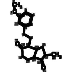 COc1cccc(CCC2C(=O)CCC3C(=O)C(C)CC23)c1